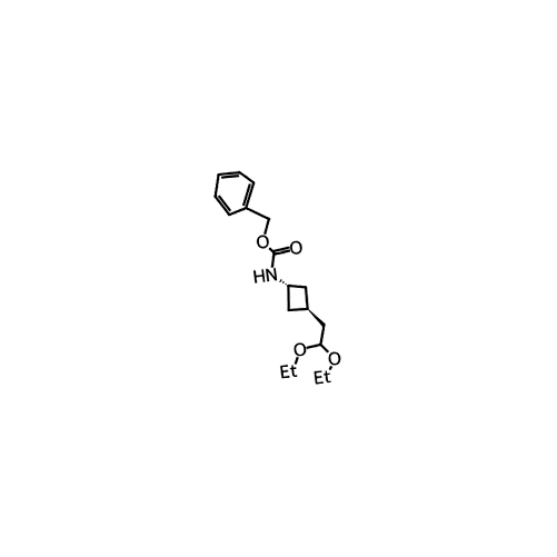 CCOC(C[C@H]1C[C@H](NC(=O)OCc2ccccc2)C1)OCC